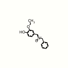 CCOc1cc(C=[N+]([O-])Cc2ccccc2)ccc1O